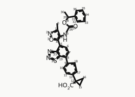 Cc1noc(-c2ccc(-c3ccc(C4(C(=O)O)CC4)cc3)c3snnc23)c1NC(=O)OC(C)c1ccccc1